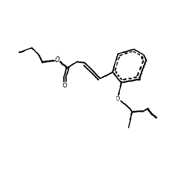 CCCOC(=O)/C=C/c1ccccc1OC(C)CC